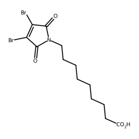 O=C(O)CCCCCCCCN1C(=O)C(Br)=C(Br)C1=O